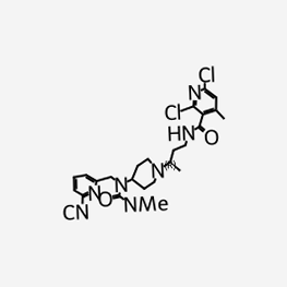 CNC(=O)N(Cc1cccc(C#N)n1)C1CCN([C@H](C)CCNC(=O)c2c(C)cc(Cl)nc2Cl)CC1